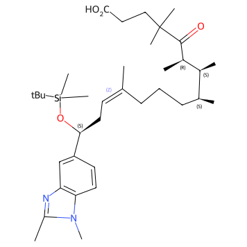 C/C(=C/C[C@H](O[Si](C)(C)C(C)(C)C)c1ccc2c(c1)nc(C)n2C)CCC[C@H](C)[C@H](C)[C@@H](C)C(=O)C(C)(C)CCC(=O)O